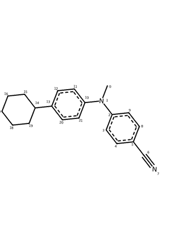 CN(c1ccc(C#N)cc1)c1ccc(C2CCCCC2)cc1